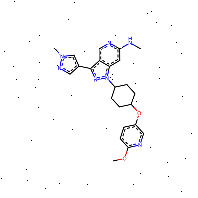 CNc1cc2c(cn1)c(-c1cnn(C)c1)nn2C1CCC(Oc2ccc(OC)nc2)CC1